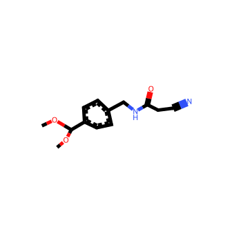 COC(OC)c1ccc(CNC(=O)CC#N)cc1